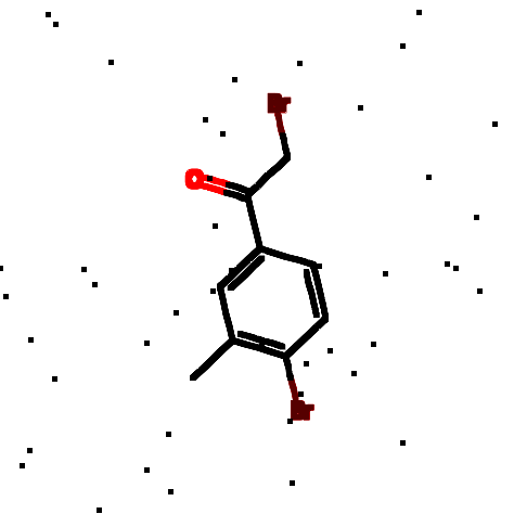 Cc1cc(C(=O)CBr)ccc1Br